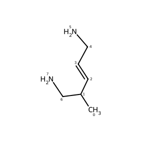 CC(C=CCN)CN